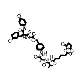 COc1ccc(/N=c2\oc3ccc(Cl)cc3cc2C(=S)NC(=O)OCc2ccc(NC(=O)[C@H](C)NC(=O)[C@H](NC(=O)CCCCC(=O)ON3C(=O)CCC3=O)C(C)C)cc2)cc1